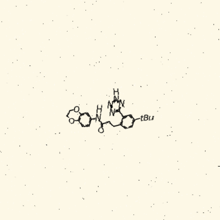 CC(C)(C)c1ccc(CCC(=O)Nc2ccc3c(c2)OCCO3)c(-c2nn[nH]n2)c1